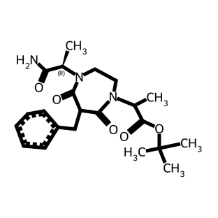 CC(C(=O)OC(C)(C)C)N1CCN([C@H](C)C(N)=O)C(=O)C(Cc2ccccc2)C1=O